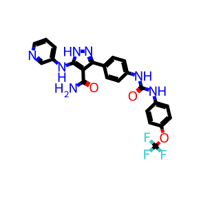 NC(=O)c1c(-c2ccc(NC(=O)Nc3ccc(OC(F)(F)F)cc3)cc2)n[nH]c1Nc1cccnc1